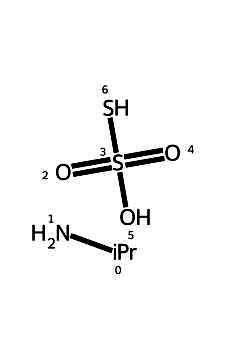 CC(C)N.O=S(=O)(O)S